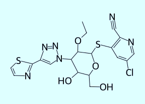 CCOC1C(Sc2cc(Cl)cnc2C#N)OC(CO)C(O)C1n1cc(-c2nccs2)nn1